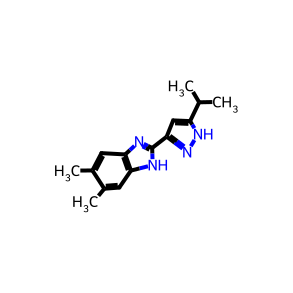 Cc1cc2nc(-c3cc(C(C)C)[nH]n3)[nH]c2cc1C